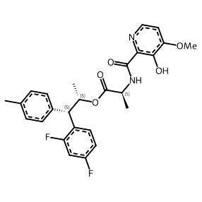 COc1ccnc(C(=O)N[C@@H](C)C(=O)O[C@@H](C)[C@@H](c2ccc(C)cc2)c2ccc(F)cc2F)c1O